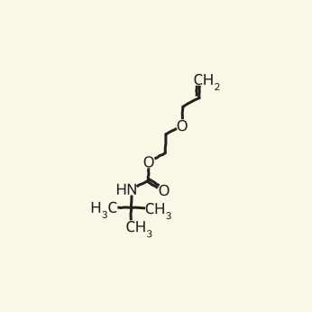 C=CCOCCOC(=O)NC(C)(C)C